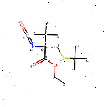 CCOC(=O)[C@@](CSC(C)(C)C)(N=C=O)C(C)(C)C